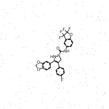 O=C(Nc1ccc2c(c1)C(F)(F)C(F)(F)O2)N1CC(c2ccc(F)cc2)=C(c2ccc3c(c2)OCO3)N1